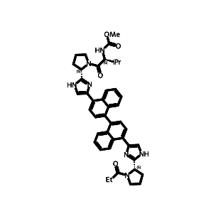 CCC(=O)N1CCC[C@H]1c1nc(-c2ccc(-c3ccc(-c4c[nH]c([C@@H]5CCCN5C(=O)[C@@H](NC(=O)OC)C(C)C)n4)c4ccccc34)c3ccccc23)c[nH]1